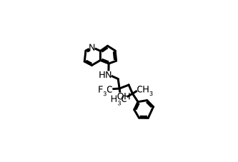 CC(C)(CC(O)(CNc1cccc2ncccc12)C(F)(F)F)c1ccccc1